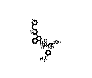 Cc1ccc(-n2nc(C(C)(C)C)cc2NC(=O)Nc2ccc(-c3ccc(Cc4cccnc4)nc3)c3ccccc23)cc1